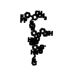 CC1(C)CCC(CN2CCN(c3ccc(C(=O)NS(=O)(=O)c4ccc(NCCCN5CCCC5)c([N+](=O)[O-])c4)c(Oc4cccc5[nH]ccc45)c3)CC2)=C(c2cccc(C(F)(F)F)c2)C1